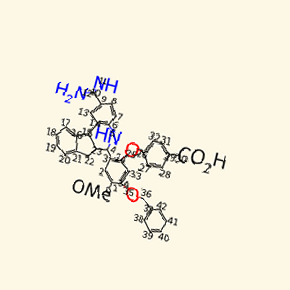 COc1cc(C2Nc3ccc(C(=N)N)cc3C3c4ccccc4CC23)c(Oc2ccc(C(=O)O)cc2)cc1OCc1ccccc1